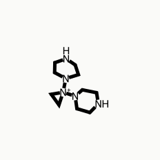 C1CN([N+]2(N3CCNCC3)CC2)CCN1